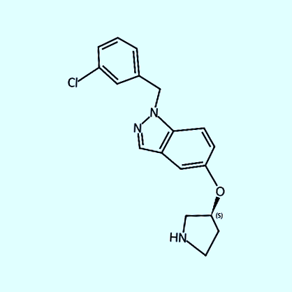 Clc1cccc(Cn2ncc3cc(O[C@H]4CCNC4)ccc32)c1